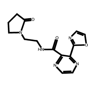 O=C(NCCN1CCCC1=O)c1nccnc1-c1ncco1